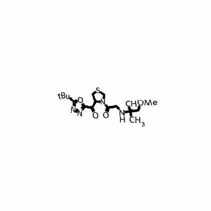 COCC(C)(C)NCC(=O)N1CSCC1C(=O)c1nnc(C(C)(C)C)o1